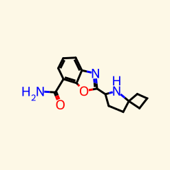 NC(=O)c1cccc2nc(C3CCC4(CCC4)N3)oc12